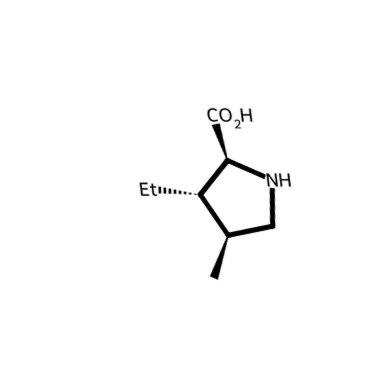 CC[C@H]1[C@H](C)CN[C@@H]1C(=O)O